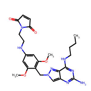 CCCCNc1nc(N)nc2cn(Cc3c(OC)cc(NCCN4C(=O)C=CC4=O)cc3OC)nc12